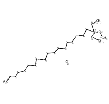 CCCCCCCCCCCCCCCCCC[N+](OC)(OC)OC.[Cl-]